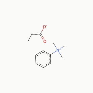 CCC(=O)[O-].C[N+](C)(C)c1ccccc1